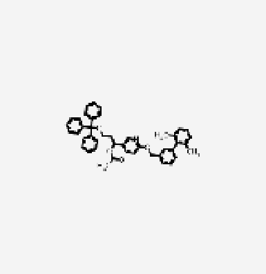 CC(=O)OC(CCOC(c1ccccc1)(c1ccccc1)c1ccccc1)c1ccc(OCc2cccc(-c3c(C)cccc3C)c2)nc1